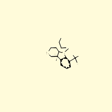 CCC(C)[C@@]12CCNC[C@H]1c1cccc(C(F)(F)F)c1N2C